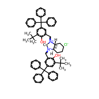 CC(C)(C)c1cc(C(c2ccccc2)(c2ccccc2)c2ccccc2)cc(C=[N+]2[Co][N+](=Cc3cc(C(c4ccccc4)(c4ccccc4)c4ccccc4)cc(C(C)(C)C)c3O)[C@@H]3CCCC[C@H]32)c1O.[Cl-]